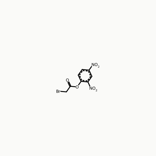 O=C(CBr)Oc1ccc([N+](=O)[O-])cc1[N+](=O)[O-]